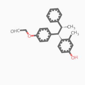 Cc1cc(O)ccc1[C@H](c1ccc(OCC=O)cc1)[C@@H](C)c1ccccc1